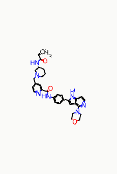 C=CC(=O)N[C@@H]1CCCN(Cc2ccnc(C(=O)Nc3ccc(-c4cc5c(N6CCOCC6)nccc5[nH]4)cc3)c2)C1